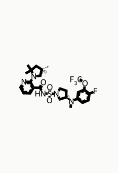 C[C@@H]1CN(c2ncccc2C(=O)NS(=O)(=O)N2CC[C@@H](N(C)c3ccc(F)c(OC(F)(F)F)c3)C2)C(C)(C)C1